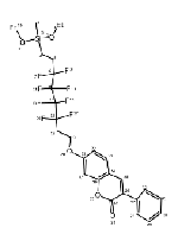 CCO[Si](C)(CCC(F)(F)C(F)(F)C(F)(F)C(F)(F)CCOc1ccc2cc(-c3ccccc3)c(=O)oc2c1)OCC